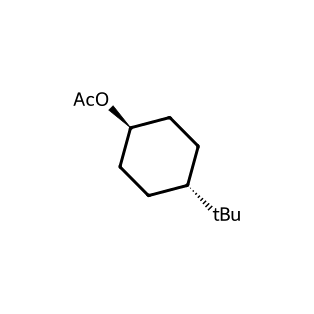 CC(=O)O[C@H]1CC[C@H](C(C)(C)C)CC1